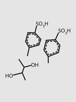 CC(O)C(C)O.Cc1ccc(S(=O)(=O)O)cc1.Cc1ccc(S(=O)(=O)O)cc1